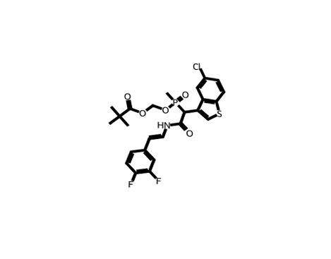 CC(C)(C)C(=O)OCOP(C)(=O)C(C(=O)N/C=C/c1ccc(F)c(F)c1)c1csc2ccc(Cl)cc12